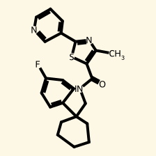 Cc1nc(-c2cccnc2)sc1C(=O)NCC1(c2ccc(F)cc2)CCCCC1